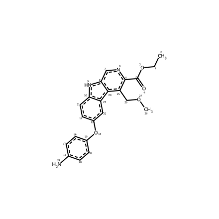 CCOC(=O)c1ncc2[nH]c3ccc(Oc4ccc(N)cc4)cc3c2c1COC